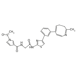 C/C1=N/C=C\C(c2cccc(-c3csc(NC(=O)CNC(=O)c4ccn([S+](C)[O-])c4)n3)c2)=C/CC1